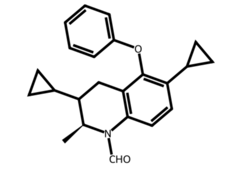 C[C@H]1C(C2CC2)Cc2c(ccc(C3CC3)c2Oc2ccccc2)N1C=O